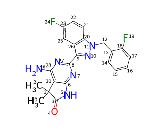 CC1(C)C(=O)Nc2nc(-c3nn(Cc4ccccc4F)c4ccc(F)cc34)nc(N)c21